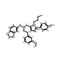 CCCCn1c(CN(CCc2cccc(OC)c2)Cc2ccc3c(c2)OCO3)cnc1-c1ccc(F)cc1